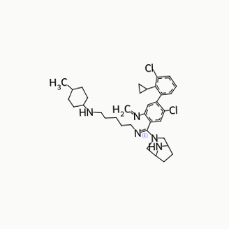 C=Nc1cc(-c2cccc(Cl)c2C2CC2)c(Cl)cc1/C(=N\CCCCCNC1CCC(C)CC1)N1CC2CCC(C1)N2